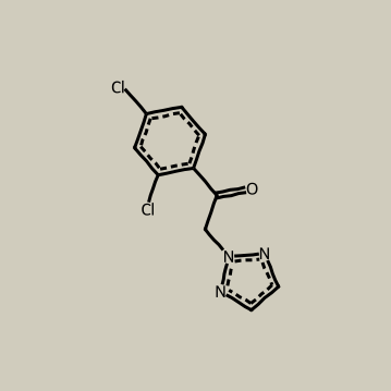 O=C(Cn1nccn1)c1ccc(Cl)cc1Cl